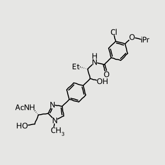 CC[C@H](NC(=O)c1ccc(OC(C)C)c(Cl)c1)C(O)c1ccc(-c2cn(C)c([C@H](CO)NC(C)=O)n2)cc1